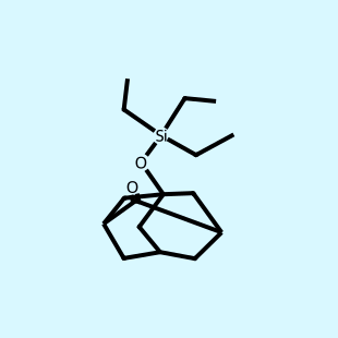 CC[Si](CC)(CC)OC12CC3CC(C1)C(=O)C(C3)C2